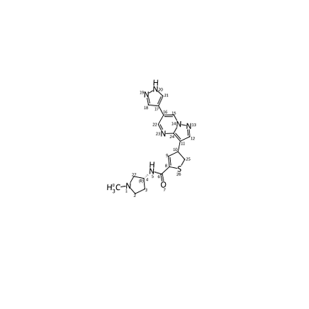 CN1CC[C@@H](NC(=O)C2=CC(c3cnn4cc(-c5cn[nH]c5)cnc34)CS2)C1